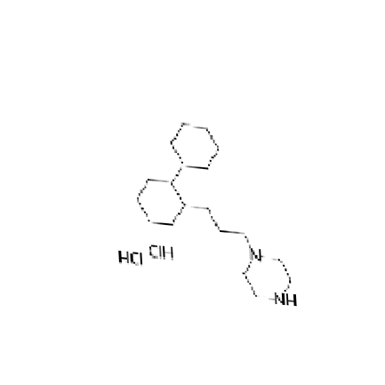 C1CCC(C2CCCCC2CCCN2CCNCC2)CC1.Cl.Cl